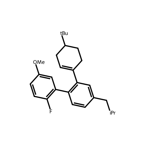 COc1ccc(F)c(-c2ccc(CC(C)C)cc2C2=CCC(C(C)(C)C)CC2)c1